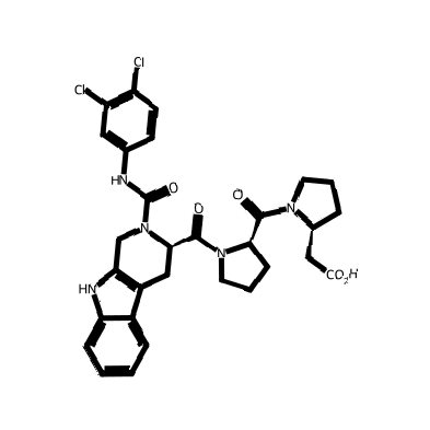 O=C(O)C[C@@H]1CCCN1C(=O)[C@H]1CCCN1C(=O)[C@H]1Cc2c([nH]c3ccccc23)CN1C(=O)Nc1ccc(Cl)c(Cl)c1